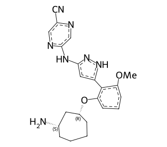 COc1cccc(O[C@@H]2CCCC[C@H](N)C2)c1-c1cc(Nc2cnc(C#N)cn2)n[nH]1